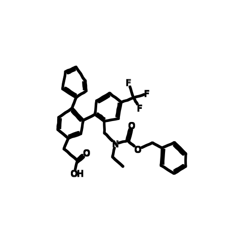 CCN(Cc1cc(C(F)(F)F)ccc1-c1cc(CC(=O)O)ccc1-c1ccccc1)C(=O)OCc1ccccc1